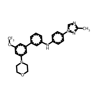 Cc1ncn(-c2ccc(Nc3cccc(-c4cc(OC(F)(F)F)cc(N5CCOCC5)c4)c3)cc2)n1